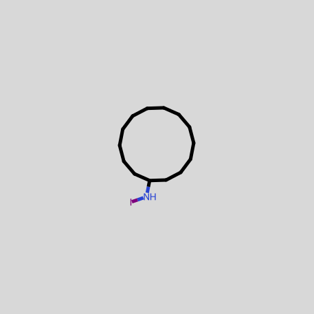 INC1CCCCCCCCCCCCC1